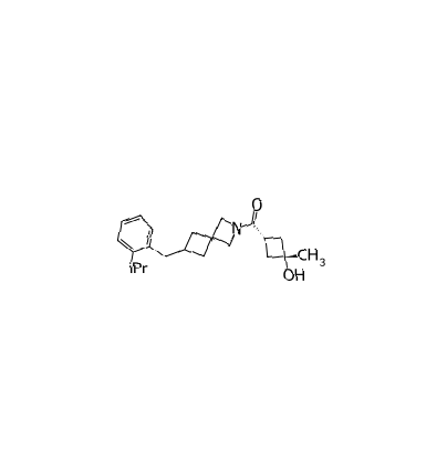 CC(C)c1ccccc1CC1CC2(C1)CN(C(=O)[C@H]1C[C@@](C)(O)C1)C2